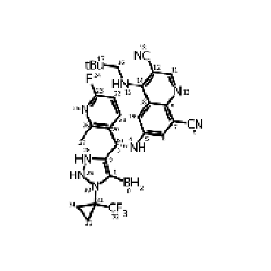 BC1=C([C@@H](Nc2cc(C#N)c3ncc(C#N)c(NCC(C)(C)C)c3c2)c2ccc(F)nc2C)NNN1C1(C(F)(F)F)CC1